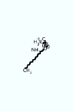 CCCCCCCCCCCCCCCCOS(=O)(=O)OC(CC)CC.N